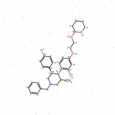 CC1CN(Cc2ccccc2)C[C@@H](c2ccc(F)cc2)N1c1ccc(OCCOC2CCCCO2)cc1Cl